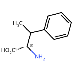 CC(c1ccccc1)[C@H](N)C(=O)O